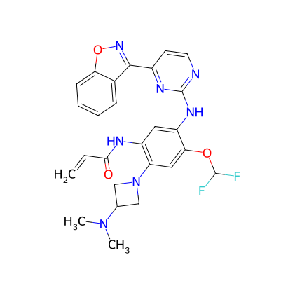 C=CC(=O)Nc1cc(Nc2nccc(-c3noc4ccccc34)n2)c(OC(F)F)cc1N1CC(N(C)C)C1